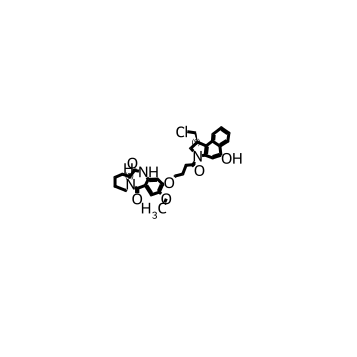 COc1cc2c(cc1OCCCC(=O)N1C[C@@H](CCl)c3c1cc(O)c1ccccc31)NC(=O)[C@@H]1CCCCN1C2=O